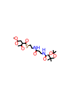 COC(=O)CC(C(C)=O)C(=O)SCCNC(=O)CCNC(=O)[C@@H]1OC(C)(C)OCC1(C)C